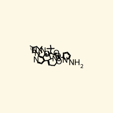 C[C@@H]1CN(c2nccc(C3=CCC[N+](C(=O)CC(C)(C)C)(S(=O)(=O)c4cccc(N)n4)C3C(C)(C)C)c2C(N)=O)C(C)(C)C1